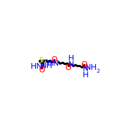 NNC(=O)CCCCCNC(=O)CCCCCNC(=O)CCCC[C@@H]1SCC2NC(=O)NC21